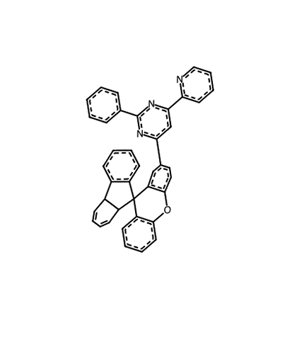 C1=CC2c3ccccc3C3(c4ccccc4Oc4ccc(-c5cc(-c6ccccn6)nc(-c6ccccc6)n5)cc43)C2C=C1